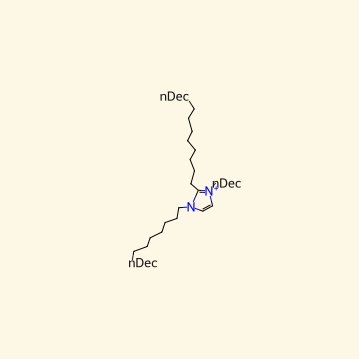 CCCCCCCCCCCCCCCCCCc1n(CCCCCCCCCCCCCCCCC)cc[n+]1CCCCCCCCCC